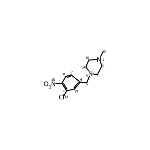 CN1CCN(Cc2ccc([N+](=O)[O-])c(Cl)c2)CC1